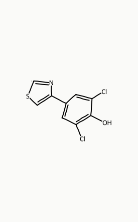 Oc1c(Cl)cc(-c2cs[c]n2)cc1Cl